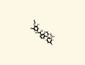 CCOc1c(F)cc(NC(=O)c2cccc3c2OC[C@H](CO)N3c2ccc(C)cn2)cc1F